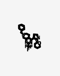 FC(F)(F)c1nc2c(c(-c3ccnn3C3CCCCO3)n1)CCN(Cc1ccccc1)C2